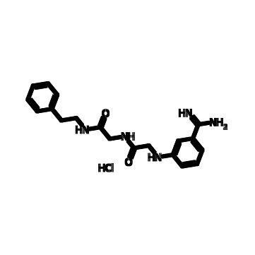 Cl.N=C(N)c1cccc(NCC(=O)NCC(=O)NCCc2ccccc2)c1